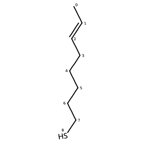 CC=CCCCCCS